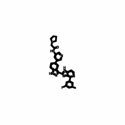 Cc1cc(F)cc(-c2nccc3[nH]c(-c4n[nH]c5ccc(-c6cncc(NC(=O)CN7CCCC7)c6)cc45)nc23)c1